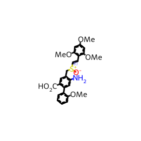 COc1cc(OC)c(/C=C/[S+]([O-])Cc2cc(C(=O)O)c(-c3ccccc3OC)cc2N)c(OC)c1